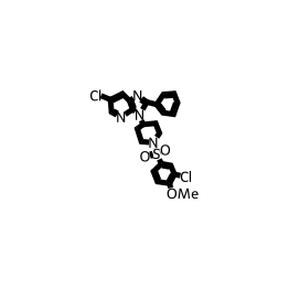 COc1ccc(S(=O)(=O)N2CCC(n3c(-c4ccccc4)nc4cc(Cl)cnc43)CC2)cc1Cl